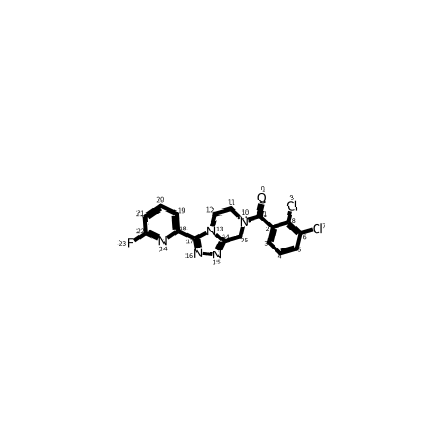 O=C(c1cccc(Cl)c1Cl)N1CCn2c(nnc2-c2cccc(F)n2)C1